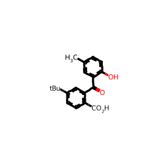 Cc1ccc(O)c(C(=O)c2cc(C(C)(C)C)ccc2C(=O)O)c1